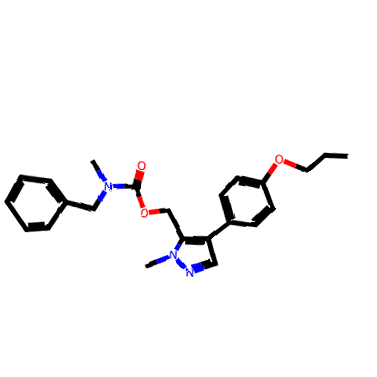 CCCOc1ccc(-c2cnn(C)c2COC(=O)N(C)Cc2ccccc2)cc1